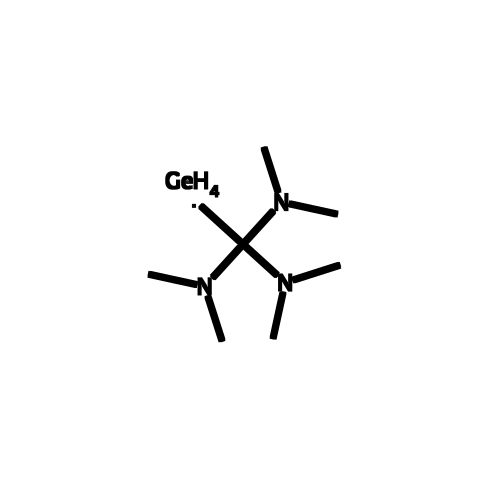 [CH2]C(N(C)C)(N(C)C)N(C)C.[GeH4]